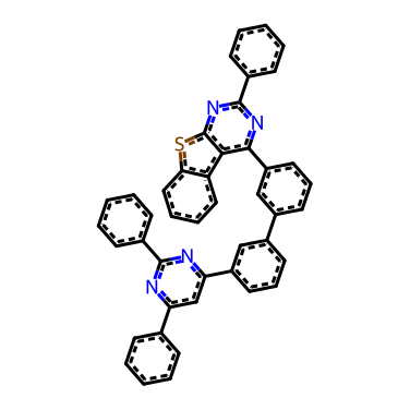 c1ccc(-c2cc(-c3cccc(-c4cccc(-c5nc(-c6ccccc6)nc6sc7ccccc7c56)c4)c3)nc(-c3ccccc3)n2)cc1